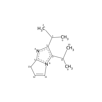 CC(C)c1nc2n(c1C(C)C)C=CC2